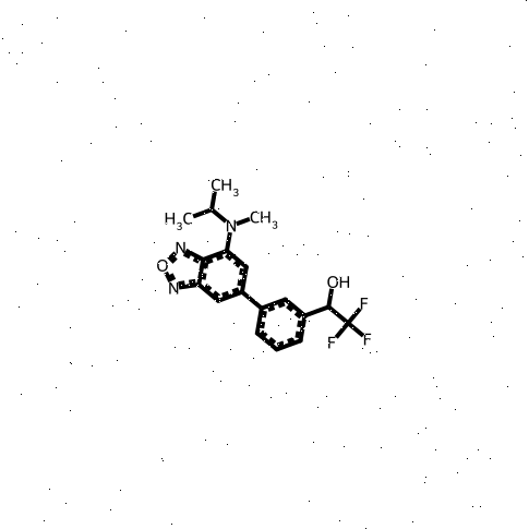 CC(C)N(C)c1cc(-c2cccc(C(O)C(F)(F)F)c2)cc2nonc12